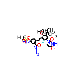 COc1c(C(C)(C)C)cc(-n2ccc(=O)[nH]c2=O)c(F)c1/C=C/c1ccc(NS(C)(=O)=O)cc1C(N)=O